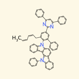 C/C=C\C=C/Cc1cc(-c2nc(-c3ccccc3)cc(-c3ccccc3)n2)cc(-c2ccccc2)c1-n1c2ccccc2c2c1ccc1c3ccccc3n(-c3ccccc3)c12